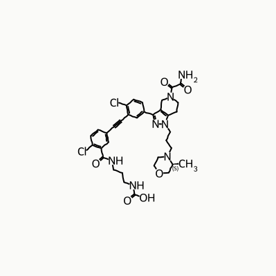 C[C@H]1COCCN1CCCn1nc(-c2ccc(Cl)c(C#Cc3ccc(Cl)c(C(=O)NCCCNC(=O)O)c3)c2)c2c1CCN(C(=O)C(N)=O)C2